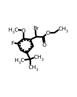 CCOC(=O)C(Br)c1cc(C(C)(C)C)cc(F)c1OC